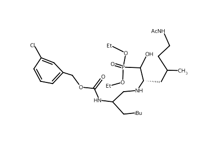 CCOP(=O)(OCC)C(O)[C@H](CC(C)CCNC(C)=O)NCC(CC(C)CC)NC(=O)OCc1cccc(Cl)c1